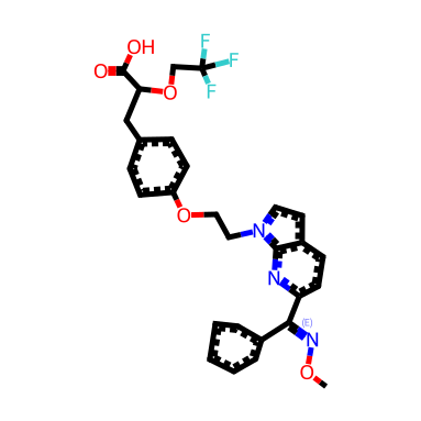 CO/N=C(\c1ccccc1)c1ccc2ccn(CCOc3ccc(CC(OCC(F)(F)F)C(=O)O)cc3)c2n1